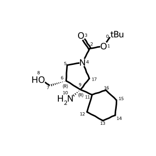 CC(C)(C)OC(=O)N1C[C@@H](CO)[C@](N)(C2CCCCC2)C1